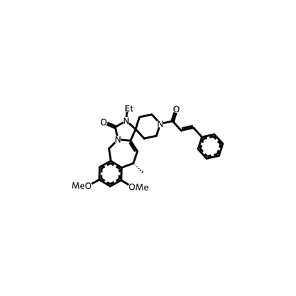 CCN1C(=O)N2Cc3cc(OC)cc(OC)c3[C@@H](C)C=C2C12CCN(C(=O)/C=C/c1ccccc1)CC2